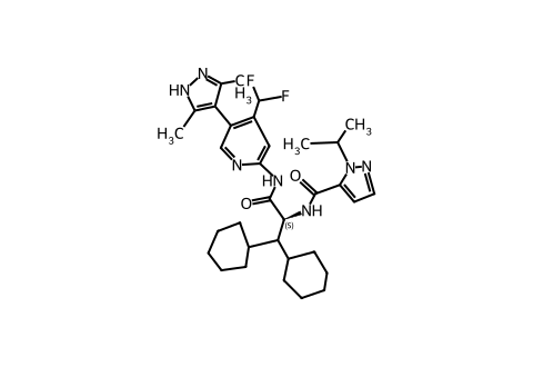 Cc1n[nH]c(C)c1-c1cnc(NC(=O)[C@@H](NC(=O)c2ccnn2C(C)C)C(C2CCCCC2)C2CCCCC2)cc1C(F)F